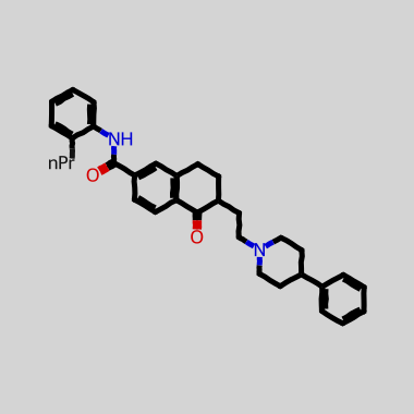 CCCc1ccccc1NC(=O)c1ccc2c(c1)CCC(CCN1CCC(c3ccccc3)CC1)C2=O